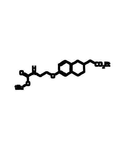 CCOC(=O)CC1CCc2cc(OCCNC(=O)OC(C)(C)C)ccc2C1